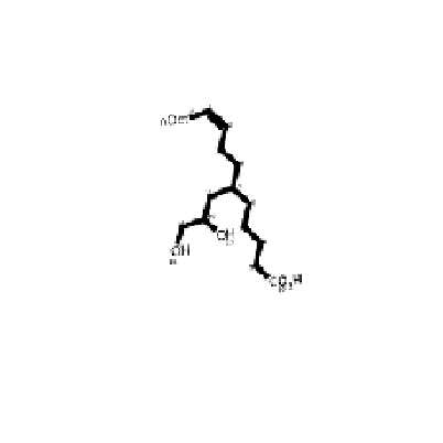 CCCCCCCC/C=C\CCC(CCCCC(=O)O)CC(O)CO